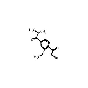 COc1cc(C(=O)N(C)C)ccc1C(=O)CBr